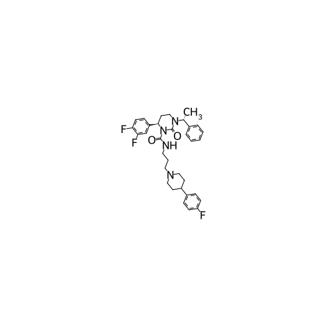 C[C@H](c1ccccc1)N1CC[C@H](c2ccc(F)c(F)c2)N(C(=O)NCCCN2CCC(c3ccc(F)cc3)CC2)C1=O